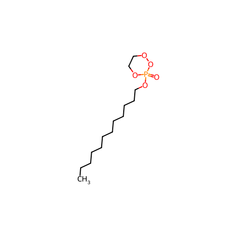 CCCCCCCCCCCCOP1(=O)OCCOO1